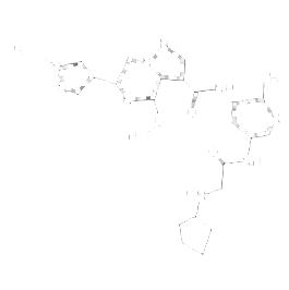 COc1nc(-c2cnn(C)c2)cn2ncc(C(=O)Nc3cc(NC(=O)CNC4CCCC4)cnc3C)c12